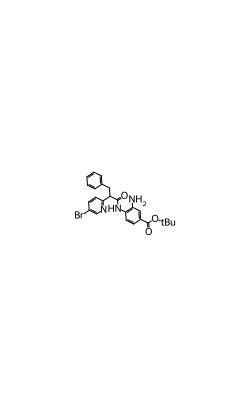 CC(C)(C)OC(=O)c1ccc(NC(=O)C(Cc2ccccc2)c2ccc(Br)cn2)c(N)c1